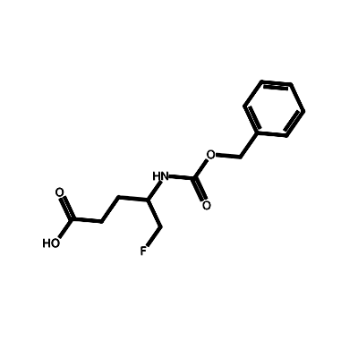 O=C(O)CCC(CF)NC(=O)OCc1ccccc1